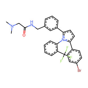 CN(C)CC(=O)NCc1cccc(-c2ccc(-c3ccc(Br)cc3)n2-c2ccccc2C(F)(F)F)c1